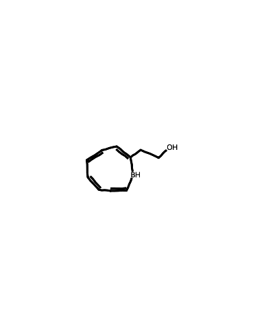 OCCC1=CC=CC=CC=CB1